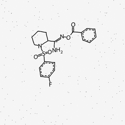 NC(=NOC(=O)c1ccccc1)C1CCCCN1S(=O)(=O)c1ccc(F)cc1